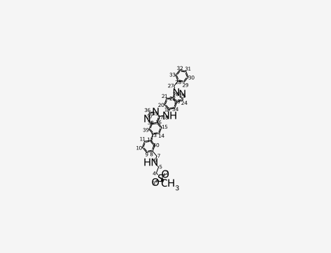 CS(=O)(=O)CCNCc1cccc(-c2ccc3c(Nc4ccc5c(cnn5Cc5ccccc5)c4)ncnc3c2)c1